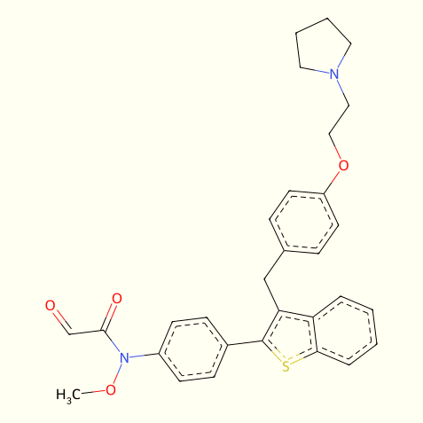 CON(C(=O)C=O)c1ccc(-c2sc3ccccc3c2Cc2ccc(OCCN3CCCC3)cc2)cc1